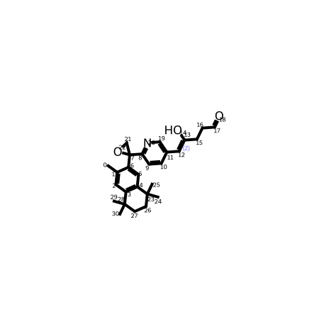 Cc1cc2c(cc1C1(c3ccc(/C=C(\O)CCC=O)cn3)CO1)C(C)(C)CCC2(C)C